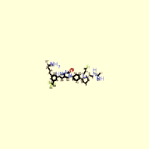 CC(=N)NCC[C@@H]1CCC[C@@H](c2ccc(-n3cc4cc(-c5cc(CCC[C@H](C)N)cc(C(F)(F)F)c5)[nH]c4nc3=O)cc2)N1CCCF